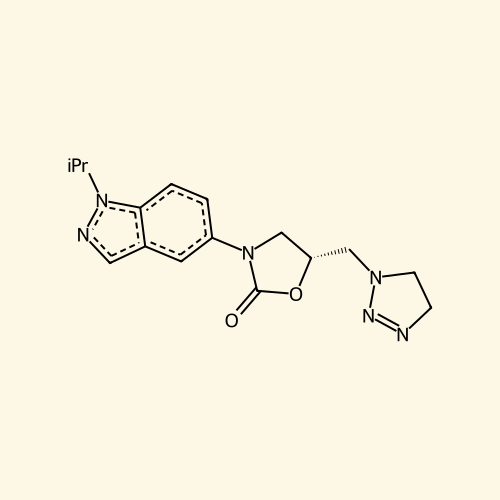 CC(C)n1ncc2cc(N3C[C@H](CN4CCN=N4)OC3=O)ccc21